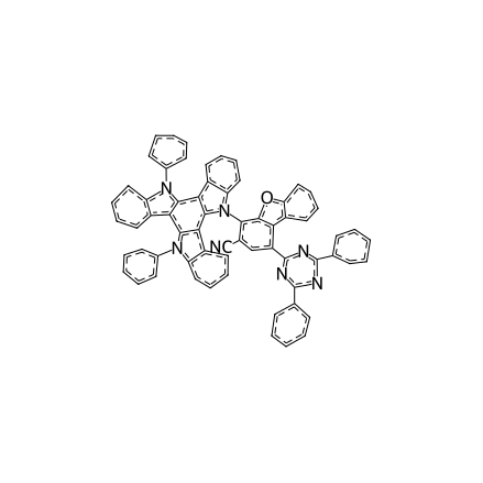 N#Cc1cc(-c2nc(-c3ccccc3)nc(-c3ccccc3)n2)c2c(oc3ccccc32)c1-n1c2ccccc2c2c3c(c4ccccc4n3-c3ccccc3)c3c(c4ccccc4n3-c3ccccc3)c21